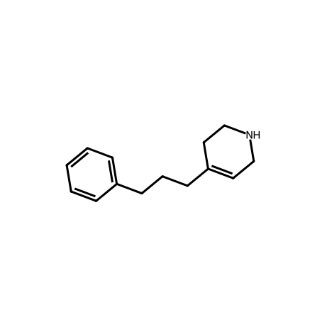 C1=C(CCCc2ccccc2)CCNC1